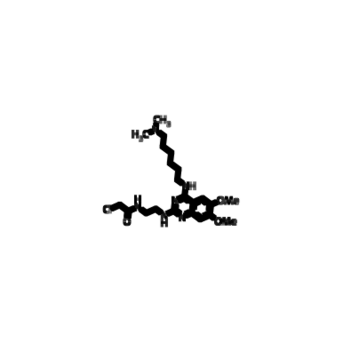 COc1cc2nc(NCCNC(=O)CCl)nc(NCCCCCCN(C)C)c2cc1OC